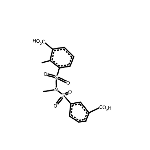 Cc1c(C(=O)O)cccc1S(=O)(=O)N(C)S(=O)(=O)c1cccc(C(=O)O)c1